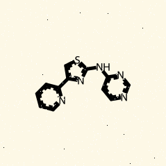 c1ccc(-c2csc(Nc3ccncn3)n2)nc1